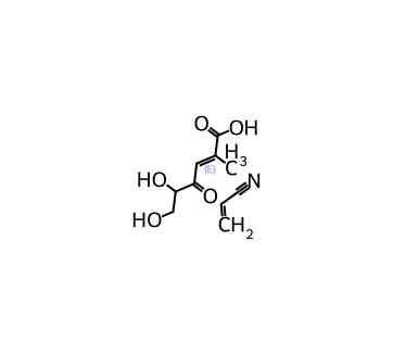 C/C(=C\C(=O)C(O)CO)C(=O)O.C=CC#N